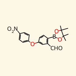 CC1(C)OB(c2ccc(Oc3ccc([N+](=O)[O-])cc3)cc2C=O)OC1(C)C